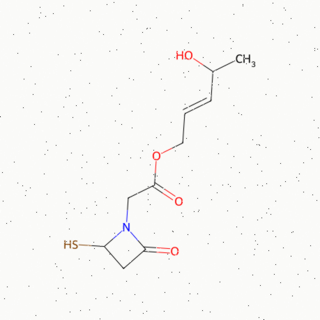 CC(O)C=CCOC(=O)CN1C(=O)CC1S